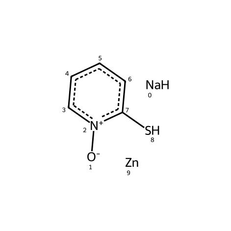 [NaH].[O-][n+]1ccccc1S.[Zn]